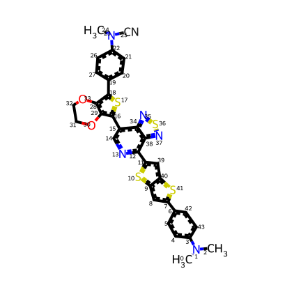 CN(C)c1ccc(-c2cc3sc(-c4ncc(-c5sc(-c6ccc(N(C)C#N)cc6)c6c5OCCO6)c5nsnc45)cc3s2)cc1